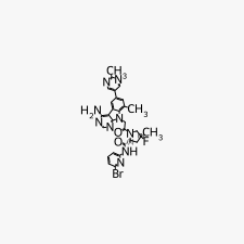 Cc1ncc(-c2cc(C)c3c(c2)c2c(N)ncnc2n3CC(=O)N2C[C@](C)(F)C[C@@H]2C(=O)Nc2cccc(Br)n2)cn1